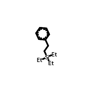 CC[Si](CC)(CC)CCc1ccccc1